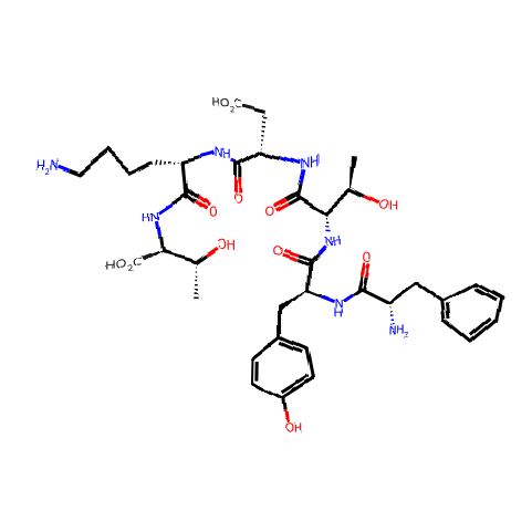 C[C@@H](O)[C@H](NC(=O)[C@H](CCCCN)NC(=O)[C@H](CC(=O)O)NC(=O)[C@@H](NC(=O)[C@H](Cc1ccc(O)cc1)NC(=O)[C@@H](N)Cc1ccccc1)[C@@H](C)O)C(=O)O